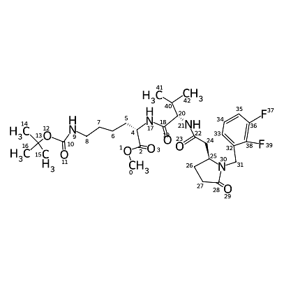 COC(=O)[C@H](CCCCNC(=O)OC(C)(C)C)NC(=O)[C@@H](NC(=O)C[C@@H]1CCC(=O)N1Cc1cccc(F)c1F)C(C)C